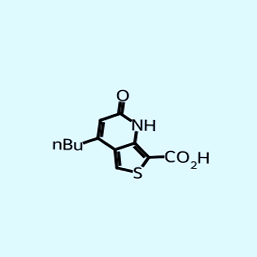 CCCCc1cc(=O)[nH]c2c(C(=O)O)scc12